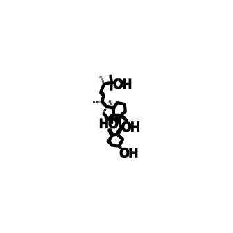 C=C1CC[C@H](O)C/C1=C/C(O)C1(CO)CCC[C@]2(C)[C@@H]([C@H](C)/C=C/[C@H](C)C(C)(C)O)CC[C@@H]12